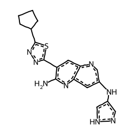 Nc1nc2cc(Nc3cn[nH]c3)cnc2cc1-c1nnc(C2CCCC2)s1